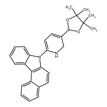 CC1(C)OB(C2=CC=C(n3c4ccccc4c4c5ccccc5ccc43)NC2)OC1(C)C